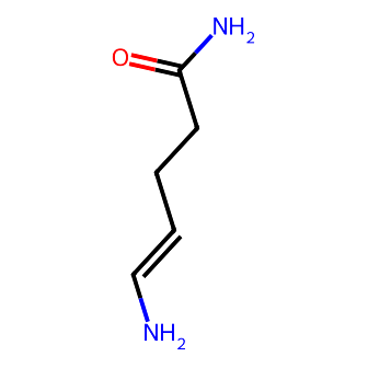 N/C=C/CCC(N)=O